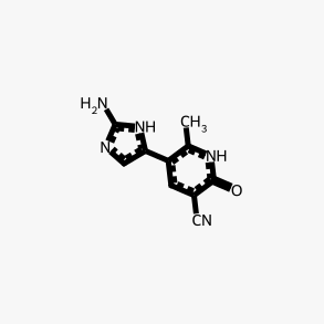 Cc1[nH]c(=O)c(C#N)cc1-c1cnc(N)[nH]1